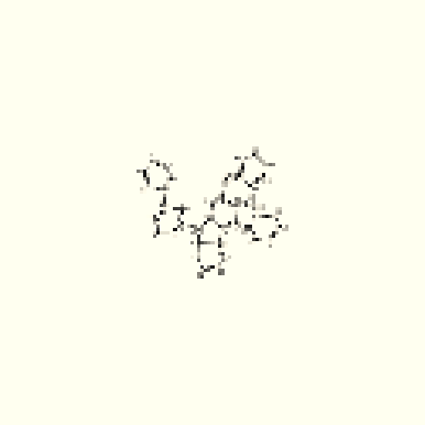 c1ccc(-c2nccc(-n3c4ccccc4c4c5c6ccccc6n6c5c(cc43)Sc3ccccc3-6)n2)cc1